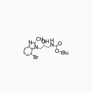 Cc1nc2cccc(Br)c2n1CC(O)CNC(=O)OC(C)(C)C